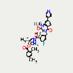 Cc1ccc(C(=O)OCC(C)(C)CNC(=O)c2cc(F)cc(CN3C(=O)c4ccc(-c5ccncc5)cc4N(C)C(=O)[C@H]3C)c2)c(C)c1